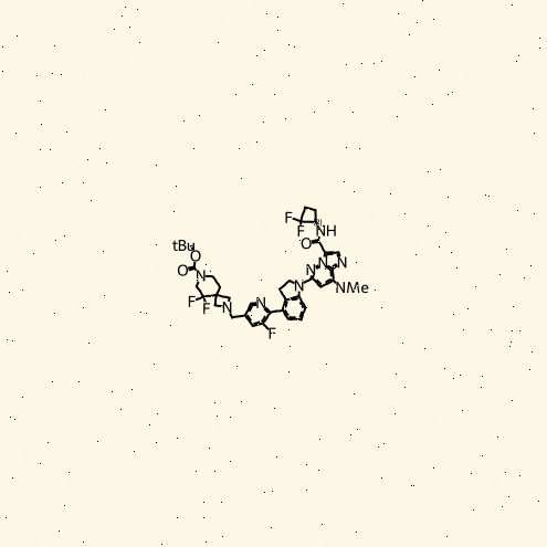 CNc1cc(N2CCc3c(-c4ncc(CN5CC6(CCN(C(=O)OC(C)(C)C)CC6(F)F)C5)cc4F)cccc32)nn2c(C(=O)N[C@@H]3CCC3(F)F)cnc12